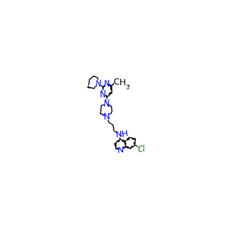 Cc1cc(N2CCN(CCCNc3ccnc4cc(Cl)ccc34)CC2)nc(N2CCCCC2)n1